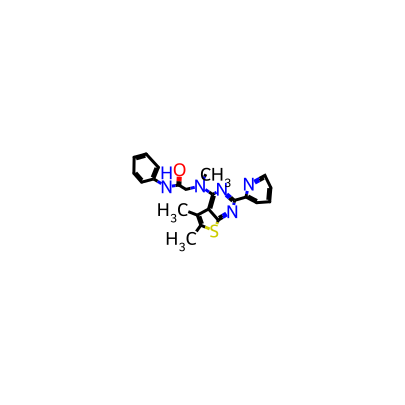 Cc1sc2nc(-c3ccccn3)nc(N(C)CC(=O)Nc3ccccc3)c2c1C